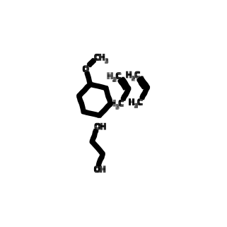 C=CC.C=CC.COC1CCCCC1.OCCO